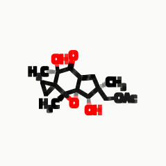 CC(=O)OC[C@]1(C)C=C2C(=O)[C@](C)(O)C3(CC3)[C@@]3(C)O[C@@]23[C@H]1O